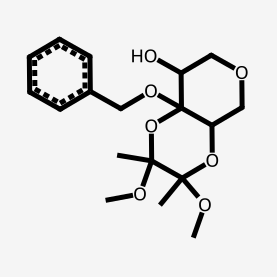 COC1(C)OC2COCC(O)C2(OCc2ccccc2)OC1(C)OC